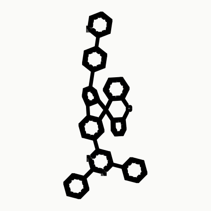 c1ccc(-c2cc(-c3ccc4c(c3)C3(c5ccccc5Oc5ccccc53)c3cc(-c5ccc(-c6ccccn6)cc5)ccc3-4)nc(-c3ccccc3)n2)cc1